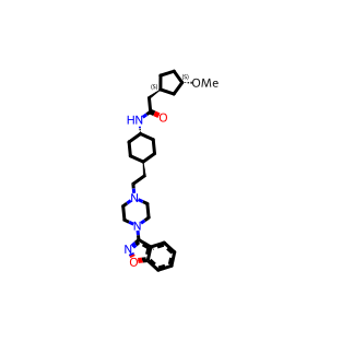 CO[C@H]1CC[C@H](CC(=O)N[C@H]2CC[C@H](CCN3CCN(c4noc5ccccc45)CC3)CC2)C1